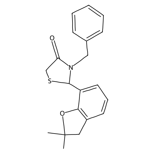 CC1(C)Cc2cccc(C3SCC(=O)N3Cc3ccccc3)c2O1